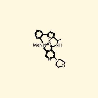 CNCc1ccccc1-c1ccc([C@@H](C)Nc2nncc3cnc(N4CCOCC4)cc23)s1